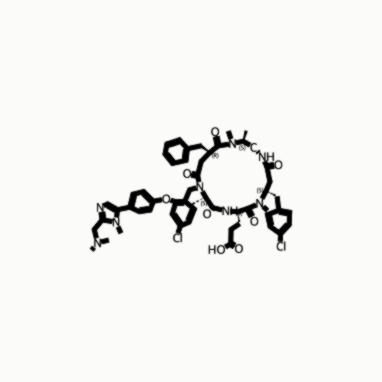 C[C@H]1CNC(=O)C[C@H](Cc2ccc(Cl)cc2)N(C)C(=O)[C@H](CCC(=O)O)NC(=O)[C@H](C)N(Cc2ccc(Cl)cc2Oc2ccc(-c3cnc(CN(C)C)n3C)cc2)C(=O)C[C@@H](Cc2ccccc2)C(=O)N1C